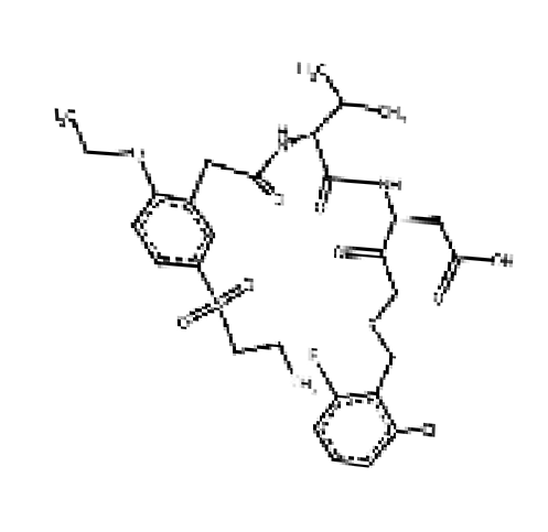 CCCS(=O)(=O)c1ccc(OCC)c(CC(=O)N[C@H](C(=O)N[C@@H](CC(=O)O)C(=O)CSCc2c(F)cccc2Cl)C(C)C)c1